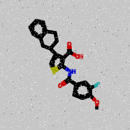 COc1ccc(C(=O)Nc2scc(C3CCc4ccccc4C3)c2C(=O)O)cc1F